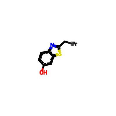 CC(C)Cc1nc2ccc(O)cc2s1